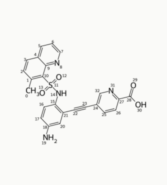 Cc1ccc2cccnc2c1S(=O)(=O)Nc1ccc(N)cc1C#Cc1ccc(C(=O)O)nc1